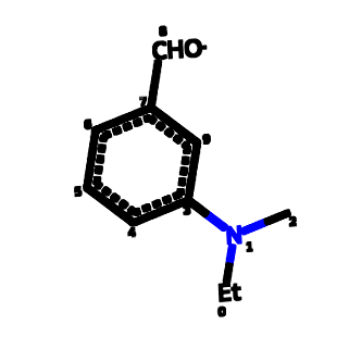 CCN(C)c1cccc([C]=O)c1